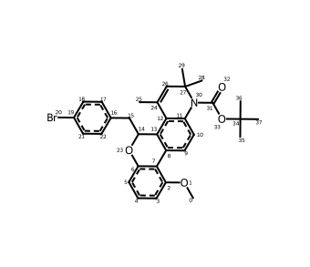 COc1cccc2c1-c1ccc3c(c1C(Cc1ccc(Br)cc1)O2)C(C)=CC(C)(C)N3C(=O)OC(C)(C)C